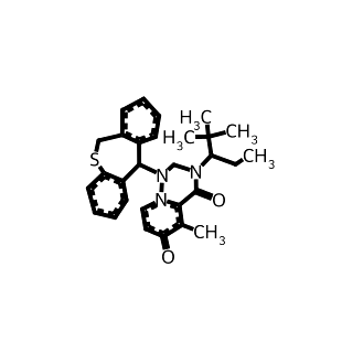 CCC(N1CN(C2c3ccccc3CSc3ccccc32)n2ccc(=O)c(C)c2C1=O)C(C)(C)C